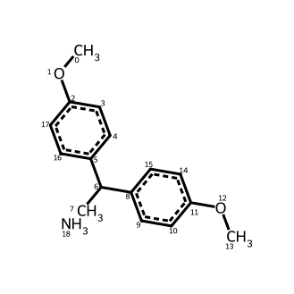 COc1ccc(C(C)c2ccc(OC)cc2)cc1.N